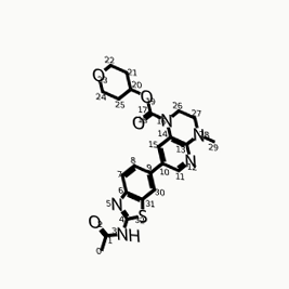 CC(=O)Nc1nc2ccc(-c3cnc4c(c3)N(C(=O)OC3CCOCC3)CCN4C)cc2s1